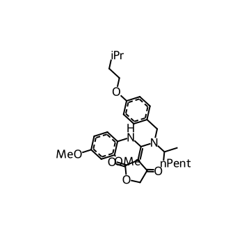 CCCCCC(C)N(Cc1ccc(OCCC(C)C)cc1)/C(Nc1ccc(OC)cc1OC)=C1\C(=O)COC1=O